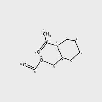 CC(=O)N1CCCCC1COC=O